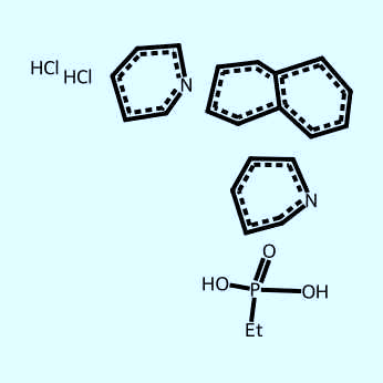 CCP(=O)(O)O.Cl.Cl.c1ccc2ccccc2c1.c1ccncc1.c1ccncc1